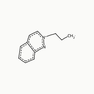 [CH2]CC[n+]1ccc2ccccc2n1